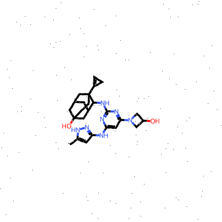 Cc1cc(Nc2cc(N3CC(O)C3)nc(NC3C4CC5CC(O)(C4)CC3(C3=CC3)C5)n2)n[nH]1